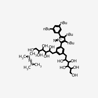 CCCCC1=C(c2cc(CCCC)cc(CCCC)c2)[N+](=[N-])C(c2cc(CC(O)C(O)C(O)C(O)CO)cc(CC(O)C(O)C(O)C(O)CO)c2)=C1CCCC.C[N](C)[Ni][N](C)C